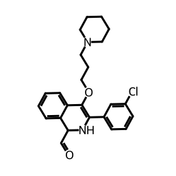 O=CC1NC(c2cccc(Cl)c2)=C(OCCCN2CCCCC2)c2ccccc21